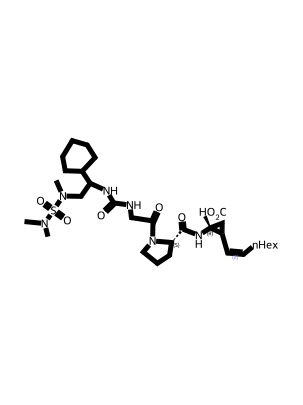 CCCCCC/C=C\C1C[C@]1(NC(=O)[C@@H]1CCCN1C(=O)CNC(=O)NC(CN(C)S(=O)(=O)N(C)C)C1CCCCC1)C(=O)O